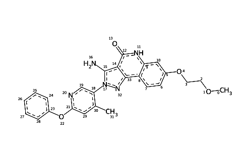 COCCOc1ccc2c(c1)[nH]c(=O)c1c(N)n(-c3cnc(Oc4ccccc4)cc3C)nc12